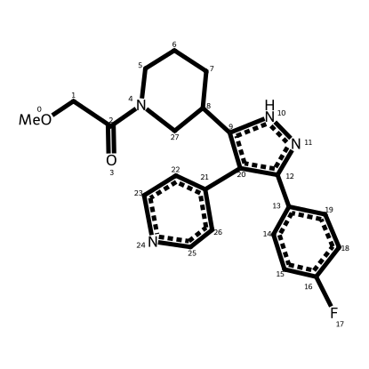 COCC(=O)N1CCCC(c2[nH]nc(-c3ccc(F)cc3)c2-c2ccncc2)C1